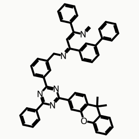 C=N/C(=C\C(=N/Cc1cccc(-c2nc(-c3ccccc3)nc(-c3ccc4c(c3)Oc3ccccc3C4(C)C)n2)c1)c1cccc(-c2ccccc2)c1)c1ccccc1